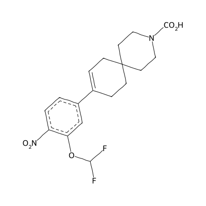 O=C(O)N1CCC2(CC=C(c3ccc([N+](=O)[O-])c(OC(F)F)c3)CC2)CC1